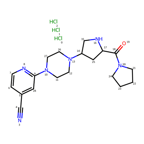 Cl.Cl.Cl.N#Cc1ccnc(N2CCN(C3CNC(C(=O)N4CCCC4)C3)CC2)c1